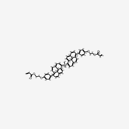 C=CC(=O)OCCOc1ccc(-c2ccc3ccc4c([Si](C)(C)c5ccc6ccc7c(-c8ccc(OCCOC(=O)C=C)cc8)ccc8ccc5c6c87)ccc5ccc2c3c54)cc1